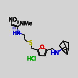 CN/C(=C\[N+](=O)[O-])NCCSCc1ccc(CNC2C3CC4C(C3)C42)o1.Cl